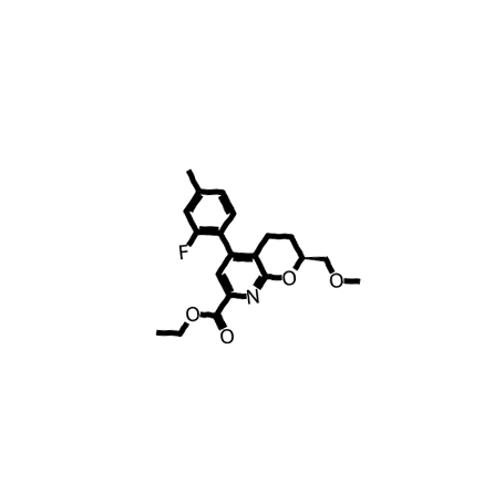 CCOC(=O)c1cc(-c2ccc(C)cc2F)c2c(n1)O[C@H](COC)CC2